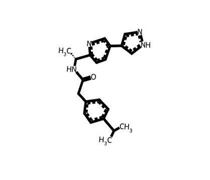 CC(C)c1ccc(CC(=O)N[C@H](C)c2ccc(-c3cn[nH]c3)cn2)cc1